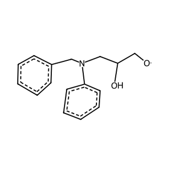 [O]CC(O)CN(Cc1ccccc1)c1ccccc1